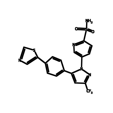 NS(=O)(=O)c1ccc(-n2nc(C(F)(F)F)cc2-c2ccc(-c3cncs3)cc2)cn1